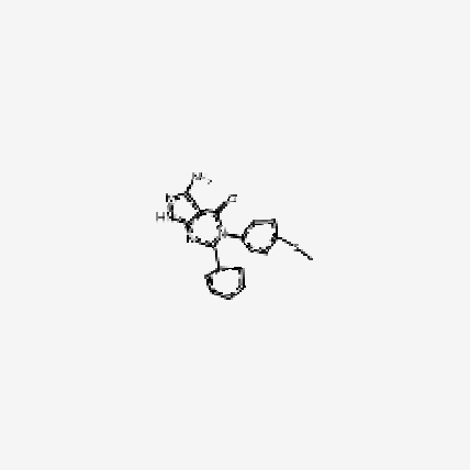 CSc1ccc(-n2c(-c3ccccc3)nc3[nH]nc(N)c3c2=O)cc1